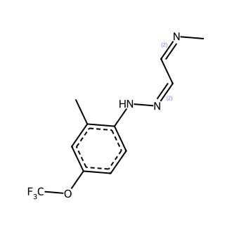 C/N=C\C=N/Nc1ccc(OC(F)(F)F)cc1C